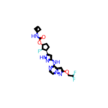 O=C(NC12CC(C1)C2)O[C@H]1CC[C@@H](c2cc(Nc3nccn4nc(OCC(F)F)cc34)n[nH]2)[C@H]1F